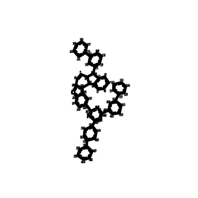 C1=CC2C(c3ccccc3N2c2cccc(-c3ccccc3)c2)c2c1oc1ccc(-c3nc(-c4ccc(-c5ccccc5)cc4)nc(-c4cccc(-c5ccccc5)c4)n3)cc21